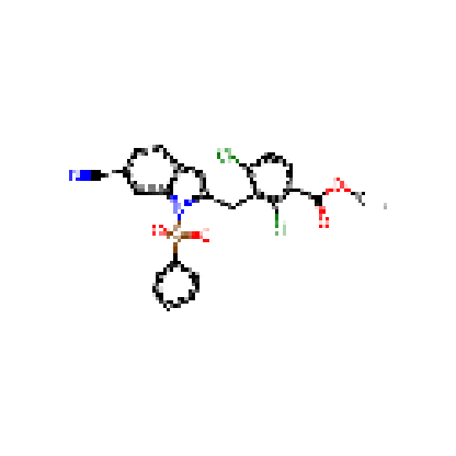 COC(=O)c1ccc(Cl)c(Cc2cc3ccc(C#N)cc3n2S(=O)(=O)c2ccccc2)c1Cl